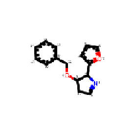 C1=NC(c2ccco2)C(OCc2ccccc2)C1